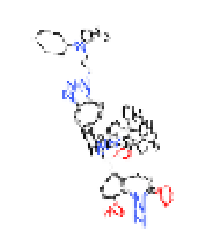 CN(CCCn1nnc2cc(CNC[C@H](O[Si](C)(C)C(C)(C)C)c3ccc(O)c4[nH]c(=O)ccc34)ccc21)C1CC[CH]CC1